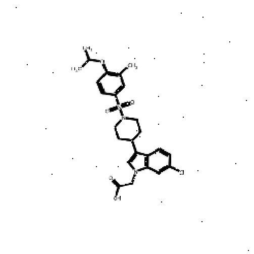 Cc1cc(S(=O)(=O)N2CCC(c3cn(CC(=O)O)c4cc(Cl)ccc34)CC2)ccc1OC(C)C